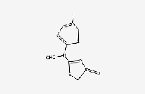 Cc1ccc(N(C=O)C2=NC(=O)CS2)cc1